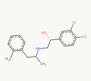 Cc1ccccc1CC(C)NC[C@H](O)c1ccc(Cl)c(Cl)c1